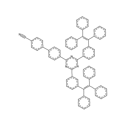 N#Cc1ccc(-c2ccc(-c3nc(-c4cccc(C(=C(c5ccccc5)c5ccccc5)c5ccccc5)c4)nc(-c4cccc(C(=C(c5ccccc5)c5ccccc5)c5ccccc5)c4)n3)cc2)cc1